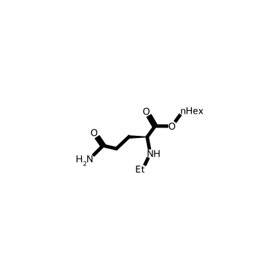 CCCCCCOC(=O)[C@H](CCC(N)=O)NCC